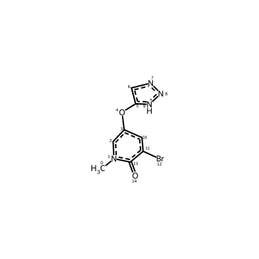 Cn1cc(Oc2cnn[nH]2)cc(Br)c1=O